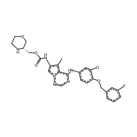 Cc1c(NC(=O)OC[C@H]2COCCN2)cn2ncnc(Nc3ccc(OCc4cccc(F)c4)c(Cl)c3)c12